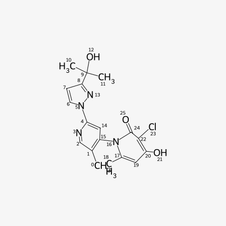 Cc1cnc(-n2ccc(C(C)(C)O)n2)cc1-n1c(C)cc(O)c(Cl)c1=O